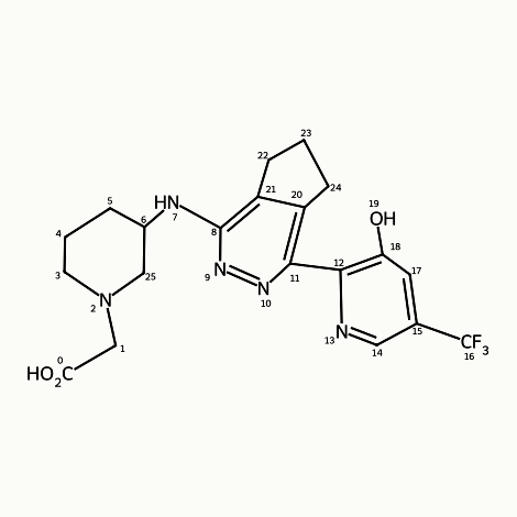 O=C(O)CN1CCCC(Nc2nnc(-c3ncc(C(F)(F)F)cc3O)c3c2CCC3)C1